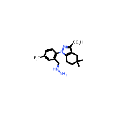 CC1(C)CCc2c(c(C(=O)O)nn2-c2ccc(C(F)(F)F)cc2CNN)C1